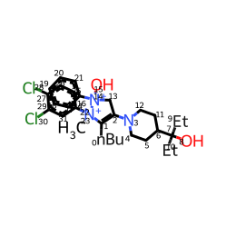 CCCCC1=C(N2CCC(C(O)(CC)CC)CC2)C[N+](O)(c2ccccc2)[N+]1(C)c1ccc(Cl)c(Cl)c1